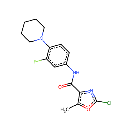 Cc1oc(Cl)nc1C(=O)Nc1ccc(N2CCCCC2)c(F)c1